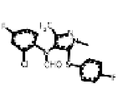 Cn1nc(C(F)(F)F)c(N(C=O)c2ccc(F)cc2Cl)c1Sc1ccc(F)cc1